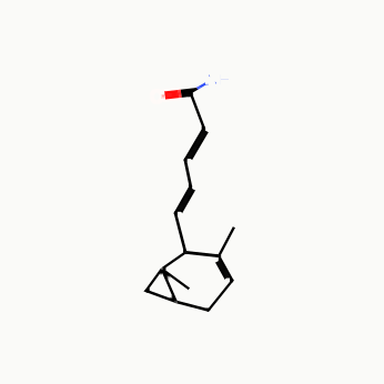 CC1=CCC2CC2(C)C1C=CC=CC(N)=O